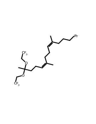 CC(=CCCC(C)(OCC(F)(F)F)OCC(F)(F)F)CCC=C(C)CCCC(C)C